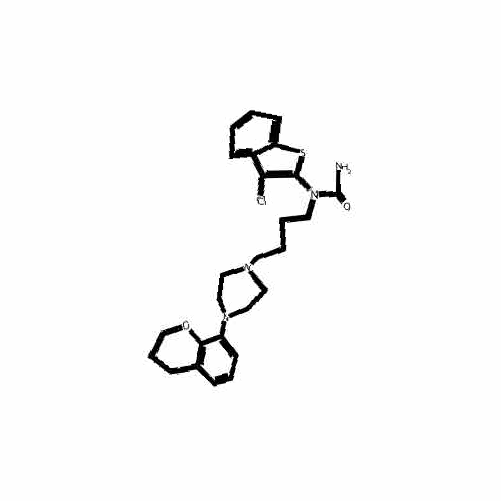 NC(=O)N(CCCCN1CCN(c2cccc3c2OCCC3)CC1)c1sc2ccccc2c1Cl